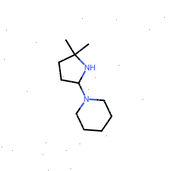 CC1(C)CCC(N2CCCCC2)N1